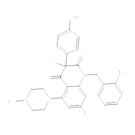 COc1ccc(C2(C)C(=O)c3c(N4CCN(C)CC4)cc(Cl)cc3N(Cc3ccccc3[N+](=O)[O-])C2=O)cc1